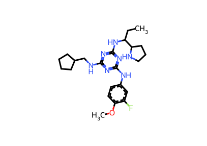 CCC(Nc1nc(NCC2CCCC2)nc(Nc2ccc(OC)c(F)c2)n1)C1CCCN1